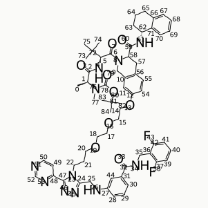 C[C@@H](C(=O)N[C@H](C(=O)N1Cc2cc(OCCOCCOCCCn3c(CNc4cccc(C(=O)NCc5c(F)cccc5F)c4)nnc3-c3ccncn3)ccc2CC1C(=O)N[C@@H]1CCCc2ccccc21)C(C)(C)C)N(C)C(=O)OC(C)(C)C